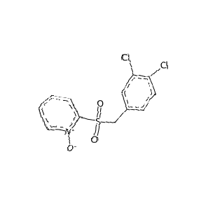 O=S(=O)(Cc1ccc(Cl)c(Cl)c1)c1cccc[n+]1[O-]